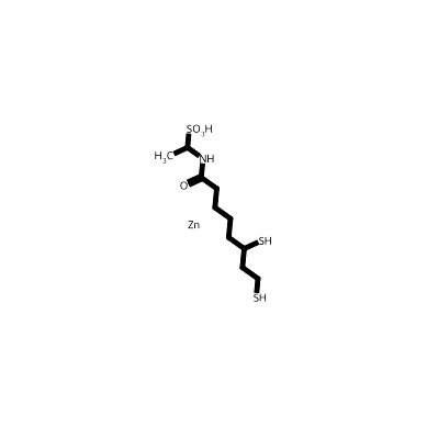 CC(NC(=O)CCCCC(S)CCS)S(=O)(=O)O.[Zn]